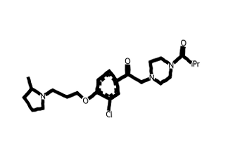 CC(C)C(=O)N1CCN(CC(=O)c2ccc(OCCCN3CCCC3C)c(Cl)c2)CC1